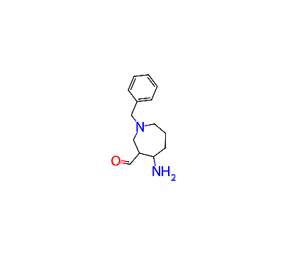 NC1CCCN(Cc2ccccc2)CC1C=O